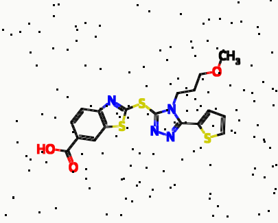 COCCCn1c(Sc2nc3ccc(C(=O)O)cc3s2)nnc1-c1cccs1